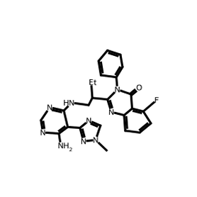 CCC(CNc1ncnc(N)c1-c1ncn(C)n1)c1nc2cccc(F)c2c(=O)n1-c1ccccc1